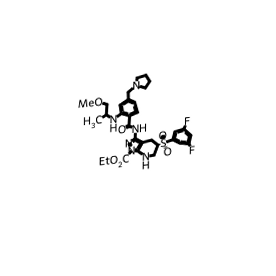 CCOC(=O)n1nc(NC(=O)c2ccc(CN3CCCC3)cc2NC(C)COC)c2c1NC[C@@H](S(=O)(=O)c1cc(F)cc(F)c1)C2